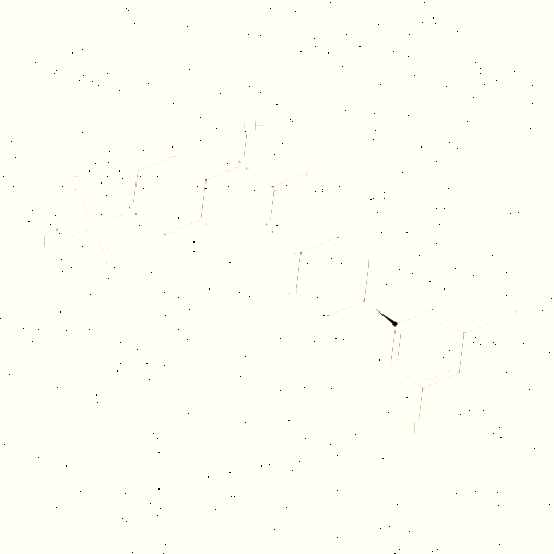 CN(C(=O)N[C@H]1CC[C@H](c2cc(F)cc(F)c2)CC1)C1CCN(S(C)(=O)=O)CC1